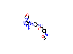 C=CC(=O)Nc1ccc(CC(=O)NC2CCN(c3nc4c(N5CCOCC5)ncnc4[nH]3)CC2)cc1